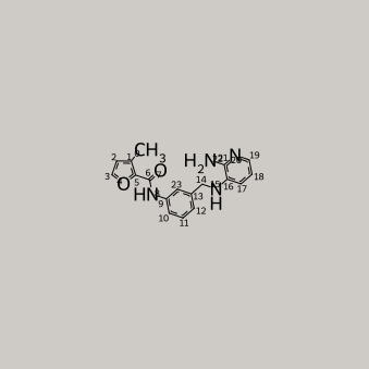 Cc1ccoc1C(=O)Nc1cccc(CNc2cccnc2N)c1